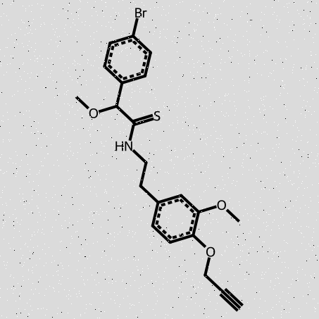 C#CCOc1ccc(CCNC(=S)C(OC)c2ccc(Br)cc2)cc1OC